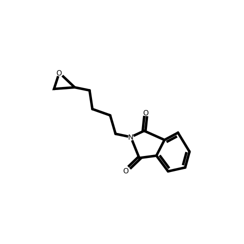 O=C1c2ccccc2C(=O)N1CCCCC1CO1